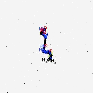 CC1(C)CCN(Cc2cc(F)c(N3CC(=O)NC4(CCN(c5cc(NCCCNC(=O)CCCCCCCCn6cc(CNc7cccc8c7C(=O)N(C7CCC(=O)NC7=O)C8=O)nn6)ncn5)CC4)C3)cc2F)CC1